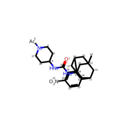 CC(=O)N1CCC(NC(=O)NC23CC4CC(C)(CC(C2)c2cc([N+](=O)[O-])ccc24)C3)CC1